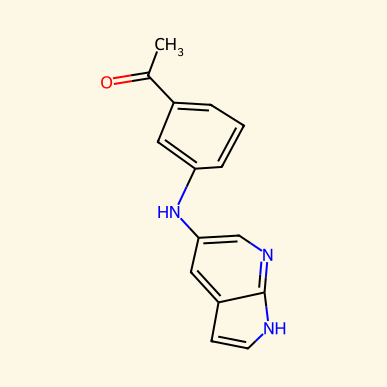 CC(=O)c1cccc(Nc2cnc3[nH]ccc3c2)c1